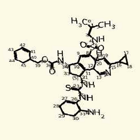 CC(C)CNS(=O)(=O)C1=CC2=C(C3C=NC(C4CC4)=C[C@@H]13)[C@@H](NC(=S)NC1=CCCCC1N)C[C@@H]2NC(=O)OCC1C=CC=CC1